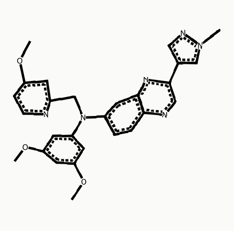 COc1cc(OC)cc(N(Cc2cc(OC)ccn2)c2ccc3ncc(-c4cnn(C)c4)nc3c2)c1